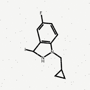 Fc1ccc2c(c1)C(I)NN2CC1CC1